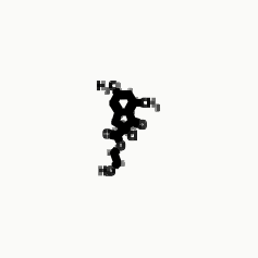 Cc1cc(C)c2c(c1)CC(Cl)(C(=O)OCCO)C2=O